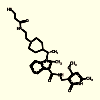 COc1cc(C)[nH]c(=O)c1CNC(=O)c1c(C)n([C@@H](C)C2CCN(CCNC(=O)CCS)CC2)c2ccccc12